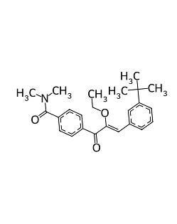 CCOC(=Cc1cccc(C(C)(C)C)c1)C(=O)c1ccc(C(=O)N(C)C)cc1